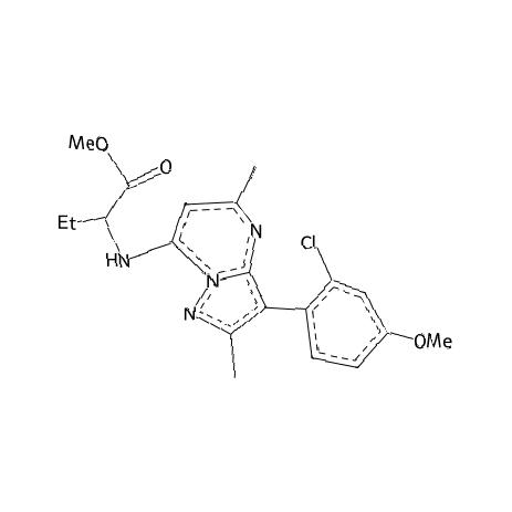 CCC(Nc1cc(C)nc2c(-c3ccc(OC)cc3Cl)c(C)nn12)C(=O)OC